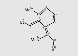 CC/C=c1\c(OC)ccc\c1=C(/CO)NC